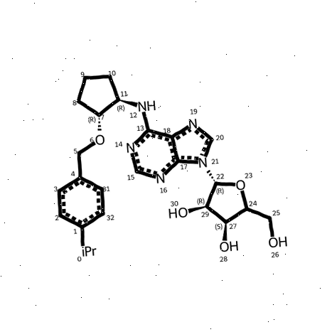 CC(C)c1ccc(CO[C@@H]2CCC[C@H]2Nc2ncnc3c2ncn3[C@@H]2OC(CO)[C@@H](O)[C@H]2O)cc1